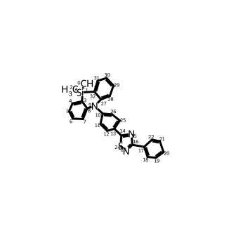 C[Si]1(C)c2ccccc2N(c2ccc(-c3nc(-c4ccccc4)ns3)cc2)c2ccccc21